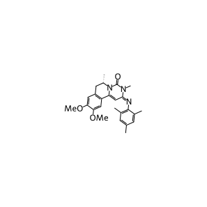 COc1cc2c(cc1OC)-c1cc(=Nc3c(C)cc(C)cc3C)n(C)c(=O)n1[C@@H](C)C2